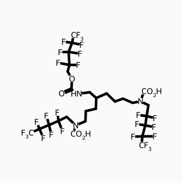 O=C(NCC(CCCCN(CC(F)(F)C(F)(F)C(F)(F)C(F)(F)F)C(=O)O)CCCN(CC(F)(F)C(F)(F)C(F)(F)C(F)(F)F)C(=O)O)OCC(F)(F)C(F)(F)C(F)(F)C(F)(F)F